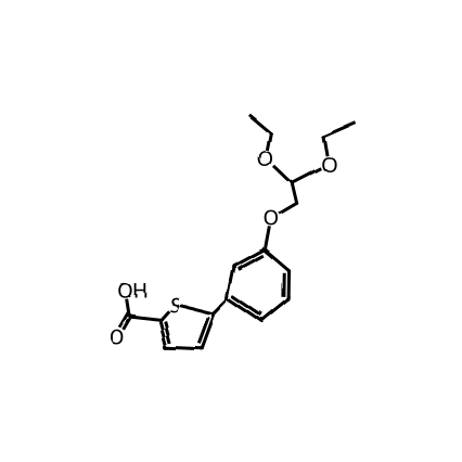 CCOC(COc1cccc(-c2ccc(C(=O)O)s2)c1)OCC